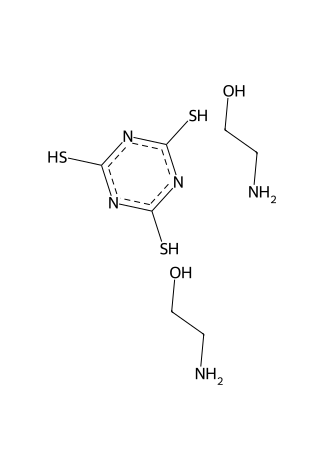 NCCO.NCCO.Sc1nc(S)nc(S)n1